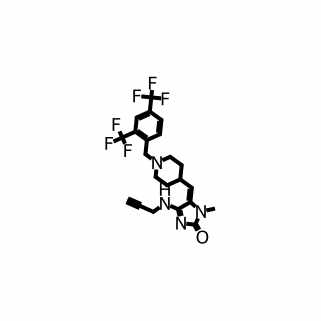 C#CCNC1=NC(=O)N(C)C1=CC1CCN(Cc2ccc(C(F)(F)F)cc2C(F)(F)F)CC1